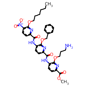 CCCCCCOc1nc(C(=O)Nc2ccc(C(=O)Nc3ccc(C(=O)OC)nc3OCCCN)nc2OCc2ccccc2)ccc1[N+](=O)[O-]